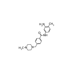 Cc1ccc(NC(=O)c2ccc(CN3CCN(C)CC3)cc2)cc1N